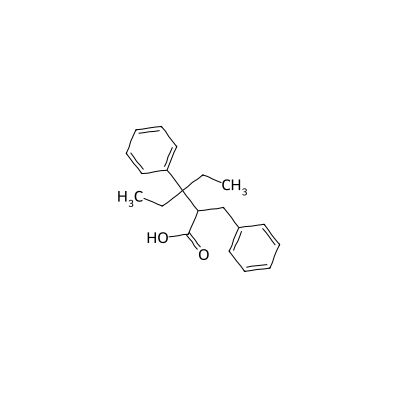 CCC(CC)(c1ccccc1)C(Cc1ccccc1)C(=O)O